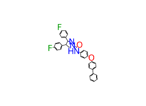 O=C(Nc1ccc(Oc2ccc(-c3ccccc3)cc2)cc1)N1CC(c2ccc(F)cc2)C(c2ccc(F)cc2)=N1